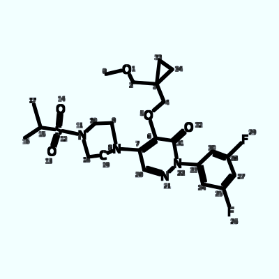 COCC1(COc2c(N3CCN(S(=O)(=O)C(C)C)CC3)cnn(-c3cc(F)cc(F)c3)c2=O)CC1